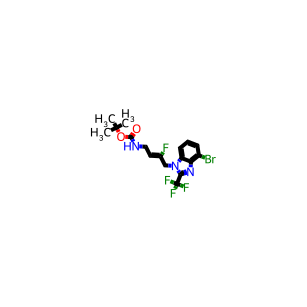 CC(C)(C)OC(=O)NC/C=C(\F)Cn1c(C(F)(F)F)nc2c(Br)cccc21